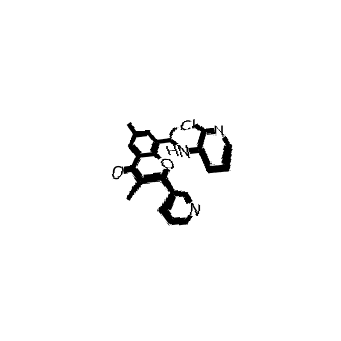 Cc1cc([C@@H](C)Nc2cccnc2Cl)c2oc(-c3cccnc3)c(C)c(=O)c2c1